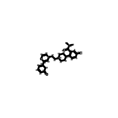 CN(C)C(=O)c1cc(Cl)ccc1C1CCN(CCN2C=COC(C3=CC=CC(=O)C3)=C2)CC1